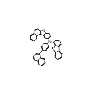 c1ccc2c(-c3ccc(N(c4ccc5sc6ccc7ccccc7c6c5c4)c4cccc5c4sc4ccccc45)cc3)cccc2c1